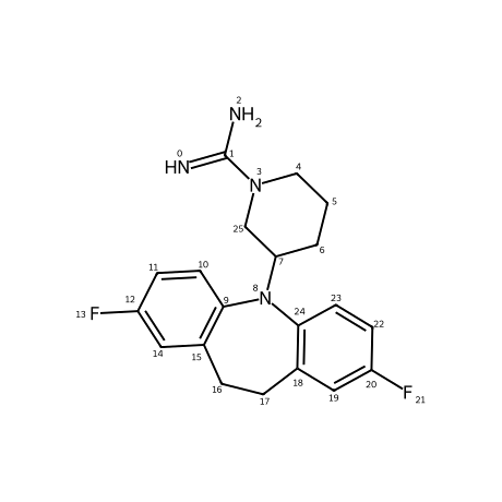 N=C(N)N1CCCC(N2c3ccc(F)cc3CCc3cc(F)ccc32)C1